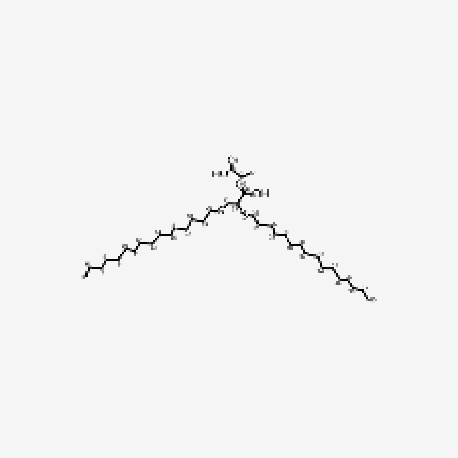 CCC(=O)O.CCCCCCCCCCCCCCCCSCC(SCCCCCCCCCCCCCCCC)C(=O)O